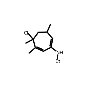 CCNC1=CC(C)CC(C)(Cl)C(C)=C1